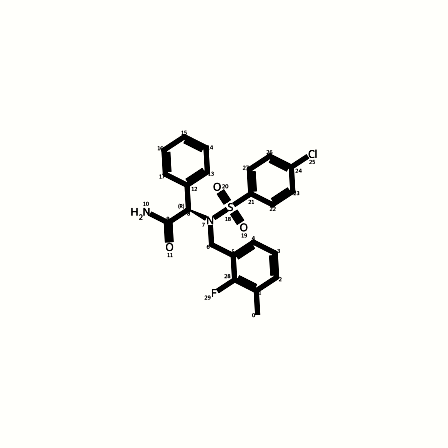 Cc1cccc(CN([C@@H](C(N)=O)c2ccccc2)S(=O)(=O)c2ccc(Cl)cc2)c1F